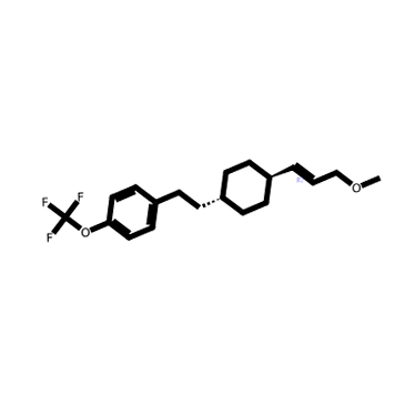 COC/C=C/[C@H]1CC[C@H](CCc2ccc(OC(F)(F)F)cc2)CC1